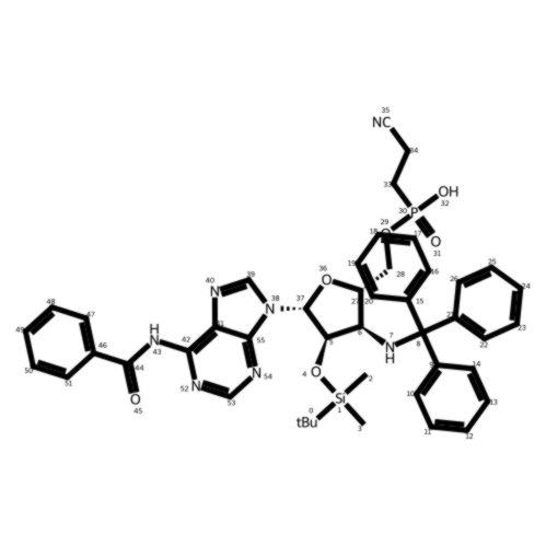 CC(C)(C)[Si](C)(C)O[C@@H]1[C@H](NC(c2ccccc2)(c2ccccc2)c2ccccc2)[C@@H](COP(=O)(O)CCC#N)O[C@H]1n1cnc2c(NC(=O)c3ccccc3)ncnc21